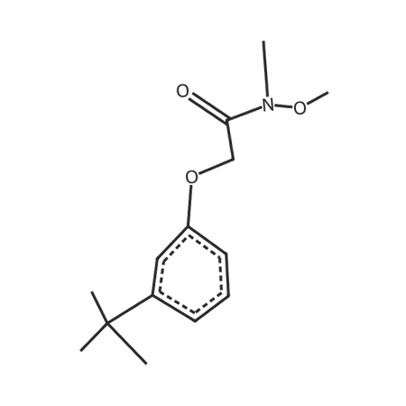 CON(C)C(=O)COc1cccc(C(C)(C)C)c1